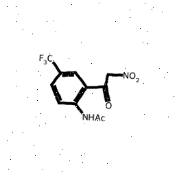 CC(=O)Nc1ccc(C(F)(F)F)cc1C(=O)C[N+](=O)[O-]